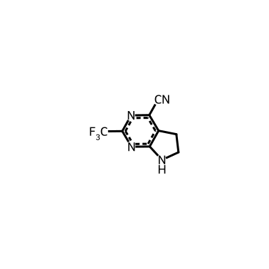 N#Cc1nc(C(F)(F)F)nc2c1CCN2